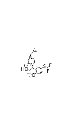 CC1(C)Oc2ccc(SC(F)F)cc2C(N2CCN(CC3CC3)CC2=O)C1O